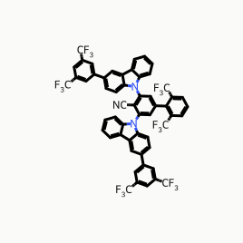 N#Cc1c(-n2c3ccccc3c3cc(-c4cc(C(F)(F)F)cc(C(F)(F)F)c4)ccc32)cc(-c2c(C(F)(F)F)cccc2C(F)(F)F)cc1-n1c2ccccc2c2cc(-c3cc(C(F)(F)F)cc(C(F)(F)F)c3)ccc21